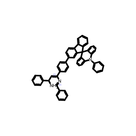 NC(/C=C(\N=C\c1ccccc1)c1ccc(-c2ccc3c(c2)C2(c4ccccc4-3)c3ccccc3N(c3ccccc3)c3ccccc32)cc1)c1ccccc1